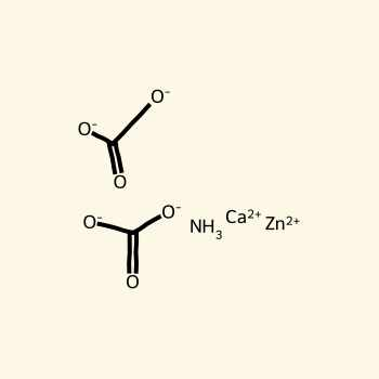 N.O=C([O-])[O-].O=C([O-])[O-].[Ca+2].[Zn+2]